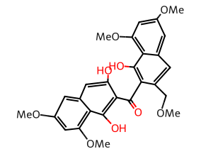 COCc1cc2cc(OC)cc(OC)c2c(O)c1C(=O)c1c(O)cc2cc(OC)cc(OC)c2c1O